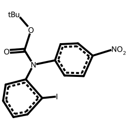 CC(C)(C)OC(=O)N(c1ccc([N+](=O)[O-])cc1)c1ccccc1I